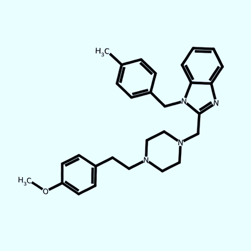 COc1ccc(CCN2CCN(Cc3nc4ccccc4n3Cc3ccc(C)cc3)CC2)cc1